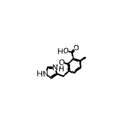 Cc1ccc(Cc2c[nH]cn2)c(O)c1C(=O)O